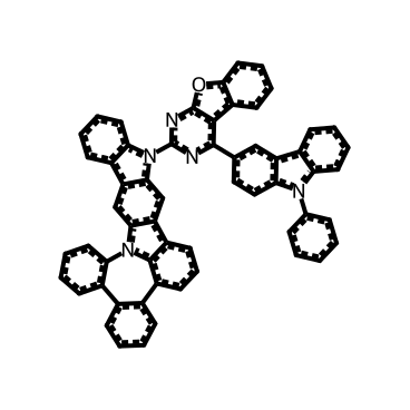 c1ccc(-n2c3ccccc3c3cc(-c4nc(-n5c6ccccc6c6cc7c(cc65)c5cccc6c5n7-c5ccccc5-c5ccccc5-6)nc5oc6ccccc6c45)ccc32)cc1